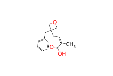 CC(=CCC1(Cc2ccccc2)COC1)C(=O)O